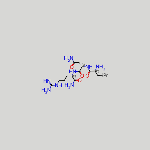 CC(C)C[C@H](N)C(=O)N[C@@H](CC(N)=O)C(=O)N[C@@H](CCCNC(=N)N)C(N)=O